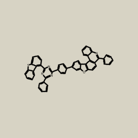 c1ccc(-c2nc(-c3ccc(-c4ccc5c(c4)oc4ccc6c(-c7ccccc7)nc7ccccc7c6c45)cc3)nc(-c3cccc4sc5ccccc5c34)n2)cc1